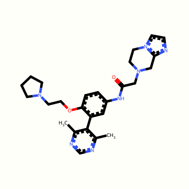 Cc1ncnc(C)c1-c1cc(NC(=O)CN2CCn3ccnc3C2)ccc1OCCN1CCCC1